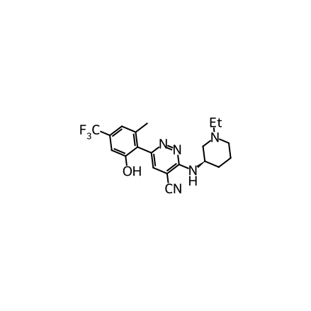 CCN1CCC[C@@H](Nc2nnc(-c3c(C)cc(C(F)(F)F)cc3O)cc2C#N)C1